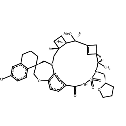 CO[C@H]1C2=C[C@H](C2)[C@H](C)N(C[C@@H]2CCCO2)S(=O)(=O)NC(=O)c2ccc3c(c2)N(C[C@@H]2CC[C@H]21)C[C@@]1(CCCc2cc(Cl)ccc21)CO3